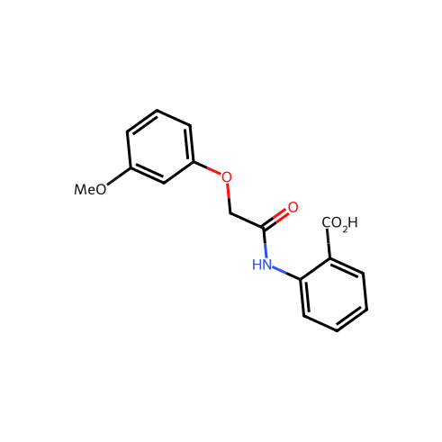 COc1cccc(OCC(=O)Nc2ccccc2C(=O)O)c1